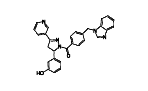 O=C(c1ccc(Cn2cnc3ccccc32)cc1)N1N=C(c2cccnc2)CC1c1cccc(O)c1